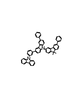 CC1(C)c2ccc(-c3ccccc3)cc2-c2cc(-n3c4ccc(-c5ccccc5)cc4c4cc(-c5cccc(-n6c7ccccc7c7ccccc76)c5)ccc43)ccc21